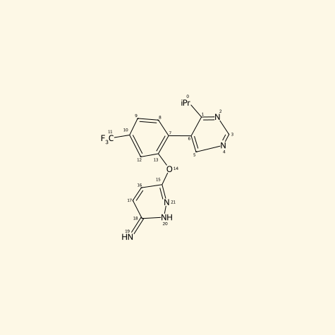 CC(C)c1ncncc1-c1ccc(C(F)(F)F)cc1Oc1ccc(=N)[nH]n1